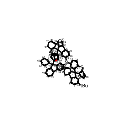 CC(C)(C)C1=CC2=C(CC1)c1ccc(C(C)(C)C)cc1C21c2ccc#cc2Sc2ccc(N(c3ccc4c(c3)C3(C5=C(CCC=C5)Sc5ccccc53)c3ccccc3-4)c3ccc4c(c3)C(c3ccccc3)(c3ccccc3)c3ccccc3-4)cc21